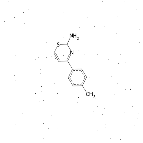 Cc1ccc(C2=NC(N)SC=C2)cc1